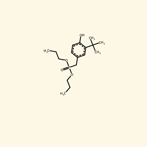 CCCOP(=O)(Cc1ccc(O)c(C(C)(C)C)c1)OCCC